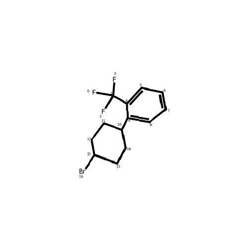 FC(F)(F)c1ccccc1C1CCC(Br)CC1